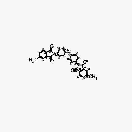 Cc1ccc2c(c1)C(=O)N(c1ccc(Oc3ccc(N4C(=O)c5ccc(C)cc5C4=O)cc3)cc1)C2=O